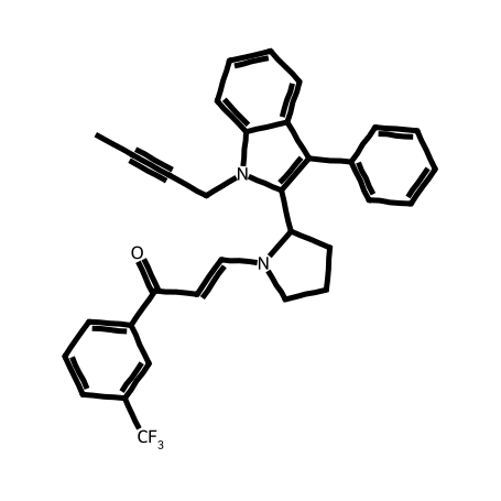 CC#CCn1c(C2CCCN2C=CC(=O)c2cccc(C(F)(F)F)c2)c(-c2ccccc2)c2ccccc21